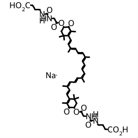 CC(C=CC=C(C)C=CC1=C(C)C(=O)C(OC(=O)CNC(=O)NCCCC(=O)O)CC1(C)C)=CC=CC=C(C)C=CC=C(C)C=CC1=C(C)C(=O)C(OC(=O)CNC(=O)NCCCC(=O)O)CC1(C)C.[Na]